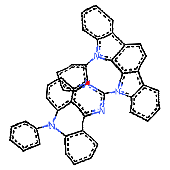 c1ccc(N2c3ccccc3-c3nc(-n4c5ccccc5c5ccc6c7ccccc7n(-c7ccccc7)c6c54)nc4cccc2c34)cc1